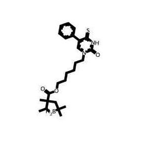 BC(C)(C)CC(C)(C(=O)OCCCCCCn1cc(-c2ccccc2)c(=S)[nH]c1=O)C(C)C